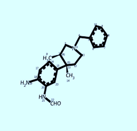 C[C@H]1CN(Cc2ccccc2)CC[C@]1(C)c1ccc(N)c(NC=O)c1